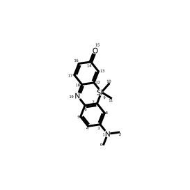 CN(C)c1ccc2c(c1)[Si](C)(C)C1=CC(=O)C=CC1=N2